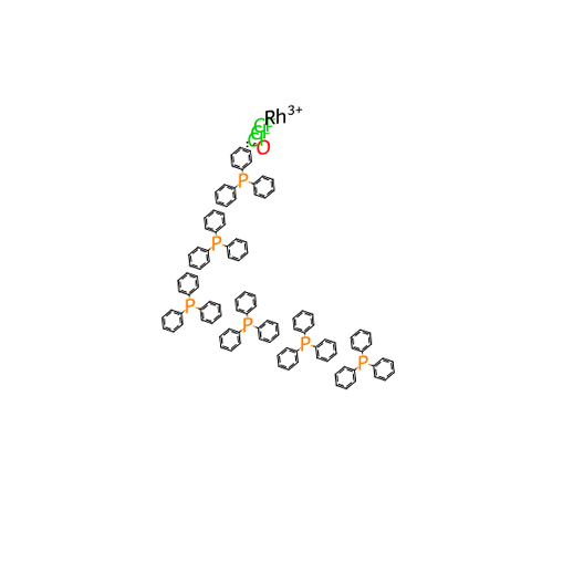 [C]=O.[Cl-].[Cl-].[Cl-].[Rh+3].c1ccc(P(c2ccccc2)c2ccccc2)cc1.c1ccc(P(c2ccccc2)c2ccccc2)cc1.c1ccc(P(c2ccccc2)c2ccccc2)cc1.c1ccc(P(c2ccccc2)c2ccccc2)cc1.c1ccc(P(c2ccccc2)c2ccccc2)cc1.c1ccc(P(c2ccccc2)c2ccccc2)cc1